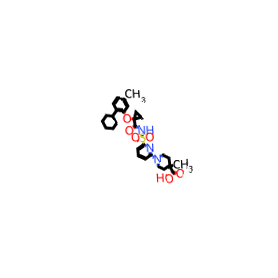 Cc1ccc(C2CCCCC2)c(OC2(C(=O)NS(=O)(=O)c3cccc(N4CCC(C)(C(=O)O)CC4)n3)CC2)c1